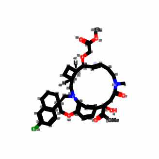 COC(=O)[C@@]1(O)CC(=O)N(C)CC/C=C/[C@H](OCC(=O)OC(C)(C)C)[C@@H]2CC[C@H]2CN2C[C@@]3(CCCc4cc(Cl)ccc43)COc3ccc1cc32